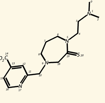 CN(C)CCN1CCCN(Cc2cc(C(=O)O)ccn2)CC1=S